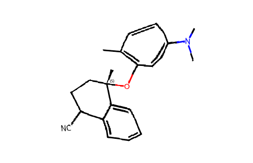 Cc1ccc(N(C)C)cc1O[C@@]1(C)CCC(C#N)c2ccccc21